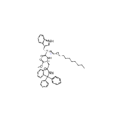 CCCCCCCCCO/C=N/[C@@H](Cc1c[nH]c2ccccc12)C(=O)N[C@@H](CC(=O)NC(c1ccccc1)(c1ccccc1)c1ccccc1)C(=O)OC